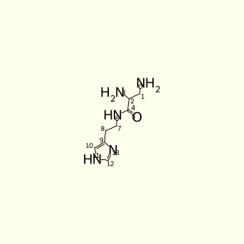 NCC(N)C(=O)NCCc1c[nH]cn1